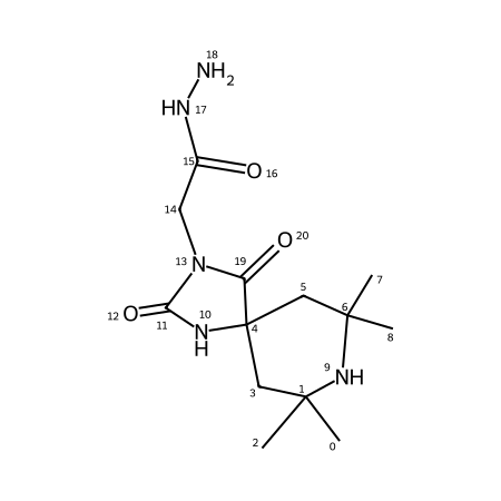 CC1(C)CC2(CC(C)(C)N1)NC(=O)N(CC(=O)NN)C2=O